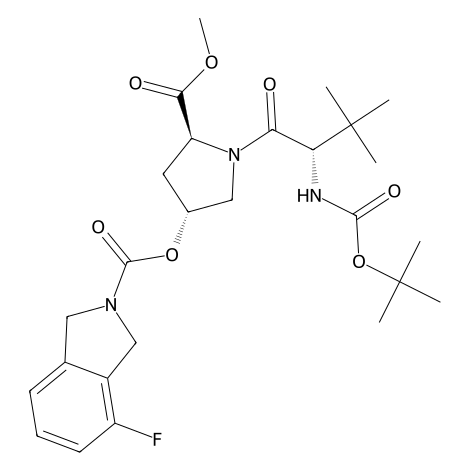 COC(=O)[C@@H]1C[C@@H](OC(=O)N2Cc3cccc(F)c3C2)CN1C(=O)[C@@H](NC(=O)OC(C)(C)C)C(C)(C)C